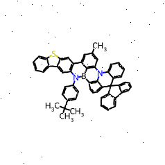 Cc1cc2c3c(c1)N1c4ccccc4C4(c5ccccc5-c5ccccc54)c4cccc(c41)B3N(c1ccc(C(C)(C)C)cc1)c1cc3c(cc1-2)sc1ccccc13